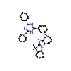 CC1(C)c2ccccc2-n2c1nc1c(-c3cccc(-c4nc(-c5ccccc5)nc(-c5ccccc5)n4)c3)cccc12